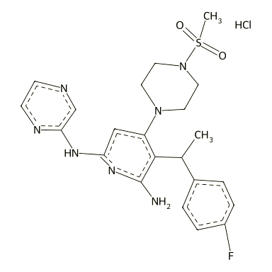 CC(c1ccc(F)cc1)c1c(N2CCN(S(C)(=O)=O)CC2)cc(Nc2cnccn2)nc1N.Cl